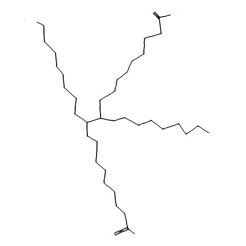 CCCCCCCCCC(CCCCCCCCC(=O)O)C(CCCCCCCCC)CCCCCCCCC(=O)O